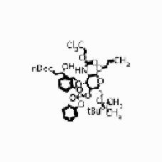 C=CCO[C@H]1O[C@H](CO[Si](C)(C)C(C)(C)C)[C@@H](OP(=O)(Oc2ccccc2)Oc2ccccc2)[C@H](OCC[C@@H](O)CCCCCCCCCCC)[C@@H]1NC(=O)OCC(Cl)(Cl)Cl